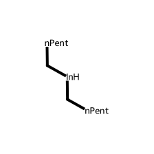 CCCCC[CH2][InH][CH2]CCCCC